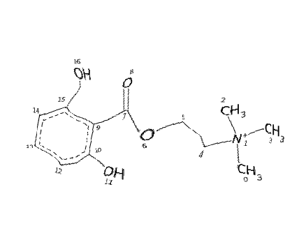 C[N+](C)(C)CCOC(=O)c1c(O)cccc1O